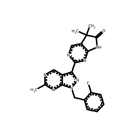 Cc1ncc2c(-c3ncc4c(n3)NC(=O)C4(C)C)nn(Cc3ccccc3F)c2n1